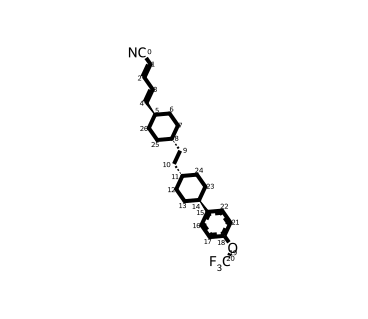 N#CC=CC=C[C@H]1CC[C@H](CC[C@H]2CC[C@H](c3ccc(OC(F)(F)F)cc3)CC2)CC1